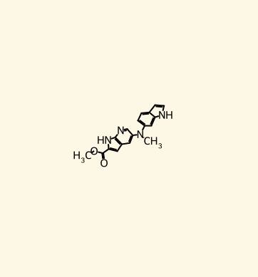 COC(=O)c1cc2cc(N(C)c3ccc4cc[nH]c4c3)cnc2[nH]1